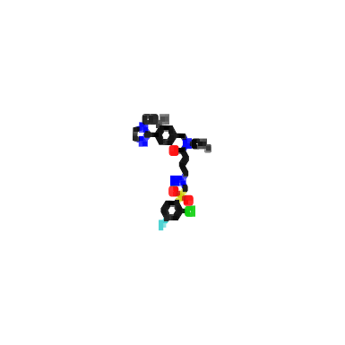 CN(Cc1ccc(C2=NCCN2C(=O)O)cc1)C(=O)/C=C/CNCS(=O)(=O)c1ccc(F)cc1Cl